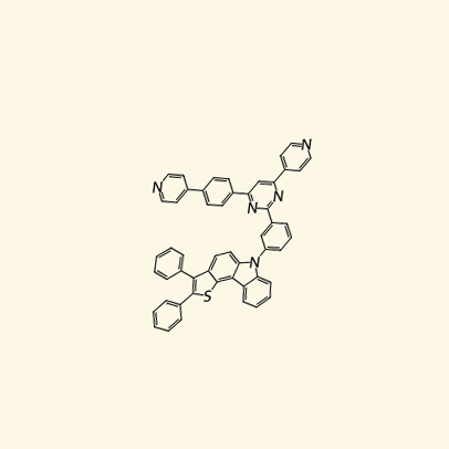 c1ccc(-c2sc3c(ccc4c3c3ccccc3n4-c3cccc(-c4nc(-c5ccncc5)cc(-c5ccc(-c6ccncc6)cc5)n4)c3)c2-c2ccccc2)cc1